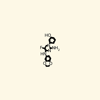 NC1=NC(Nc2ccc3c(c2)OCCO3)=C(F)CN1c1cccc(O)c1